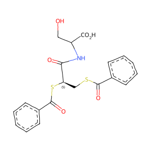 O=C(SC[C@@H](SC(=O)c1ccccc1)C(=O)NC(CO)C(=O)O)c1ccccc1